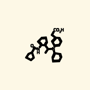 CC(c1ccccc1NC(=O)C1CCCC1)N(c1ccccc1)c1cccc(CC(=O)O)c1